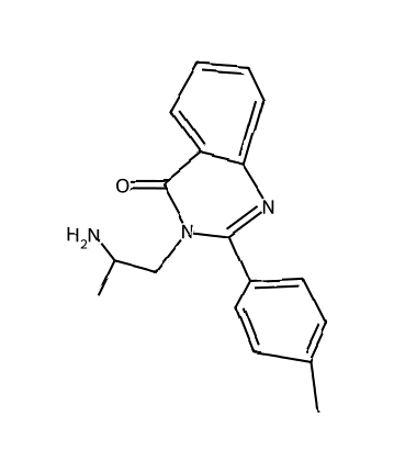 Cc1ccc(-c2nc3ccccc3c(=O)n2CC(C)N)cc1